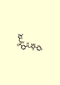 Cc1ncc(CNC(=O)c2cccc(NCc3nnc(-c4ccncn4)n3C)c2)s1